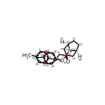 Cc1ccc(OCC(=O)N2[C@@H]3CC[C@H]2CC(Oc2ccc(F)cc2)C3)cc1